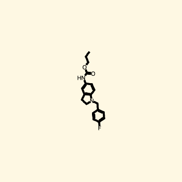 CCCOC(=O)Nc1ccc2c(c1)CCN2Cc1ccc(F)cc1